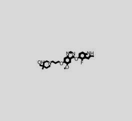 COc1cc2c(Oc3ccc4[nH]c(C)cc4c3F)ncnc2cc1OCCCN1CCC(C)(CO)CC1